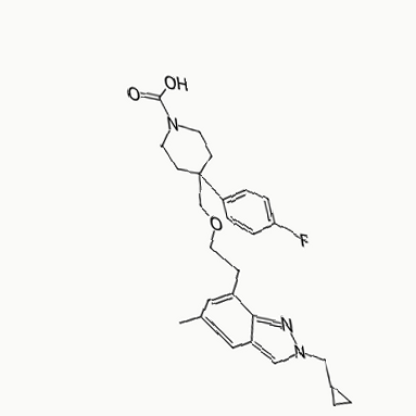 Cc1cc(CCOCC2(c3ccc(F)cc3)CCN(C(=O)O)CC2)c2nn(CC3CC3)cc2c1